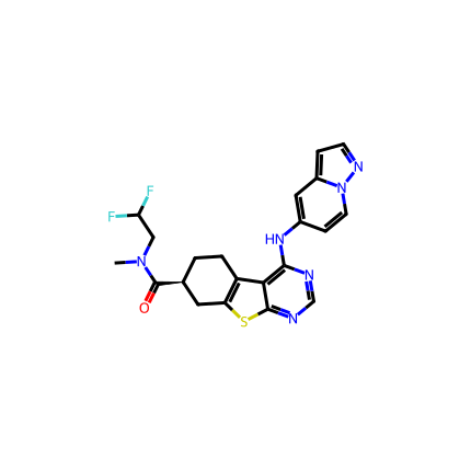 CN(CC(F)F)C(=O)[C@H]1CCc2c(sc3ncnc(Nc4ccn5nccc5c4)c23)C1